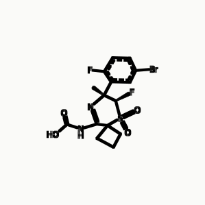 C[C@]1(c2cc(Br)ccc2F)N=C(NC(=O)O)C2(CCC2)S(=O)(=O)[C@@H]1F